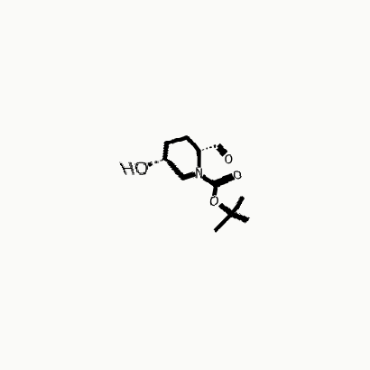 CC(C)(C)OC(=O)N1C[C@H](O)CC[C@@H]1C=O